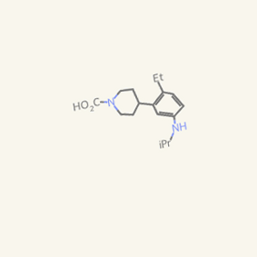 CCc1ccc(NC(C)C)cc1C1CCN(C(=O)O)CC1